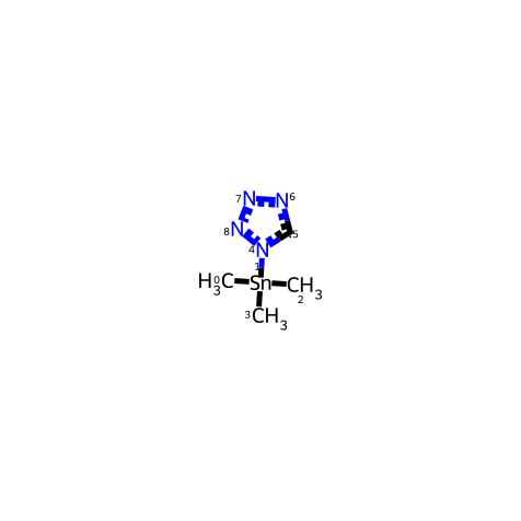 [CH3][Sn]([CH3])([CH3])[n]1[c]nnn1